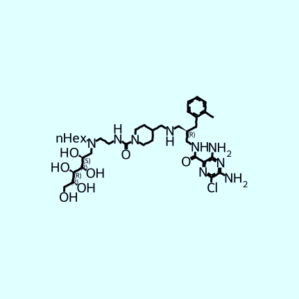 CCCCCCN(CCNC(=O)N1CCC(CNC[C@H](CNC(=O)c2nc(Cl)c(N)nc2N)Cc2ccccc2C)CC1)C[C@H](O)[C@@H](O)[C@H](O)[C@H](O)CO